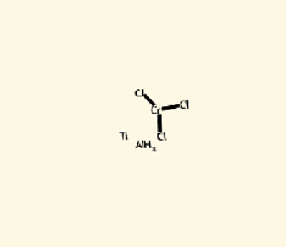 [AlH3].[Cl][Cr]([Cl])[Cl].[Ti]